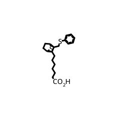 O=C(O)CCCCCCC1C2CCC(S2)C1CSc1ccccc1